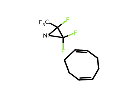 C1=C\CC/C=C\CC/1.FC(F)(F)[C]1(F)[Ni][C]1(F)F